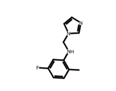 Cc1ccc(F)cc1NCn1ccnc1